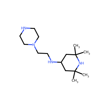 CC1(C)CC(NCCN2CCNCC2)CC(C)(C)N1